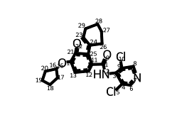 O=C(Nc1c(Cl)cncc1Cl)c1ccc(OC2CCCC2)c2oc3c(c12)CCCC3